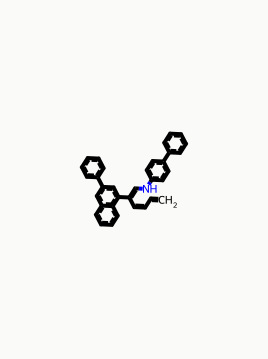 C=C/C=C\C(=C/Nc1ccc(-c2ccccc2)cc1)c1cc(-c2ccccc2)cc2ccccc12